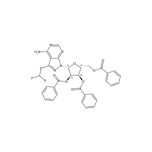 Nc1ncnc2c1c(OC(F)F)nn2[C@@H]1O[C@H](COC(=O)c2ccccc2)[C@@H](OC(=O)c2ccccc2)[C@H]1OC(=O)c1ccccc1